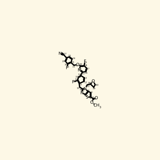 COC(=O)c1cc2c(nc(Cc3ccc(-c4ccc(F)c(OCc5ccc(C#N)cc5F)n4)cc3F)n2CC2CCO2)s1